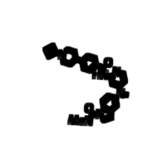 CNC(=O)n1ccc2cc(N(C)c3ccnc(NC(=O)c4ccc(C5CCN(C6CCC6)CC5)cc4)c3)ccc21